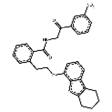 O=C(CNC(=O)c1ccccc1CCOc1cccc2c3c(oc12)CCCC3)c1cccc([N+](=O)[O-])c1